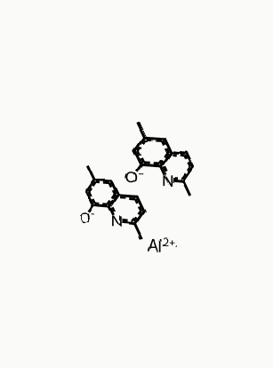 Cc1cc([O-])c2nc(C)ccc2c1.Cc1cc([O-])c2nc(C)ccc2c1.[Al+2]